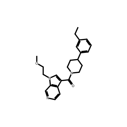 CCc1cccc(C2CCN(C(=O)c3cn(CCOC)c4cnccc34)CC2)c1